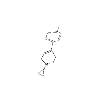 Cc1ccc(C2=CCN(C3CC3)CC2)cc1